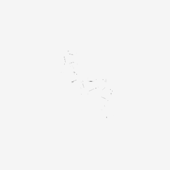 Nc1ncc(C2CCOCC2)cc1-c1ccc(C(=O)NC(CO)c2ccccc2)c(Cl)c1